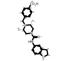 C[C@@H]1CN(C(=O)Nc2ccc3c(c2)CCO3)C[C@H](C)N1Cc1ccc(C(=O)O)cc1